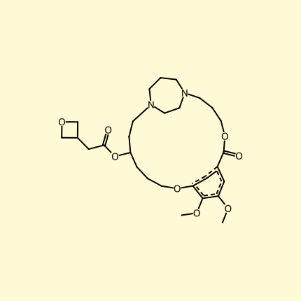 COc1cc2cc(c1OC)OCCCC(OC(=O)CC1COC1)CCN1CCCN(CCCOC2=O)CC1